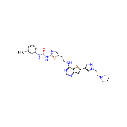 Cc1cccc(NC(=O)Nc2ncc(CCNc3ncnc4cc(-c5cnn(CCN6CCCC6)c5)sc34)s2)c1